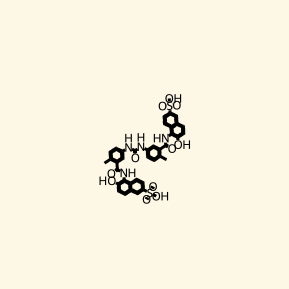 Cc1ccc(NC(=O)Nc2ccc(C)c(C(=O)Nc3c(O)ccc4cc(S(=O)(=O)O)ccc34)c2)cc1C(=O)Nc1c(O)ccc2cc(S(=O)(=O)O)ccc12